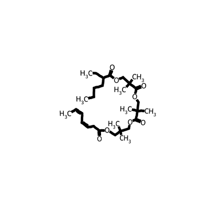 C/C=C\C=C/CC(=O)OCC(C)(C)COC(=O)C(C)(C)COC(=O)C(C)(C)COC(=O)C(CC)CCCC